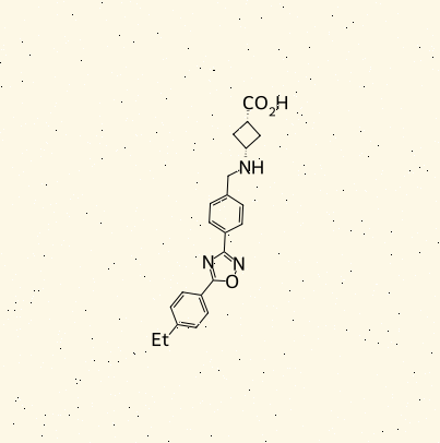 CCc1ccc(-c2nc(-c3ccc(CN[C@H]4C[C@@H](C(=O)O)C4)cc3)no2)cc1